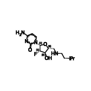 CC(C)CCNC[C@H]1O[C@@H](n2ccc(N)nc2=O)[C@@H](F)[C@@H]1O